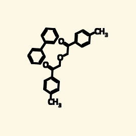 Cc1ccc(C(=O)COCC(=O)c2ccc(C)cc2)cc1.c1ccc(-c2ccccc2)cc1